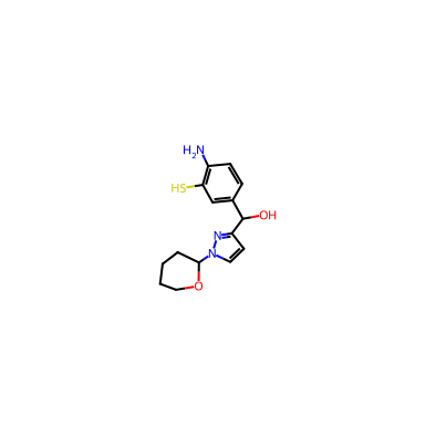 Nc1ccc(C(O)c2ccn(C3CCCCO3)n2)cc1S